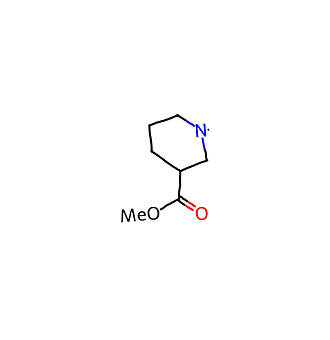 COC(=O)C1CCC[N]C1